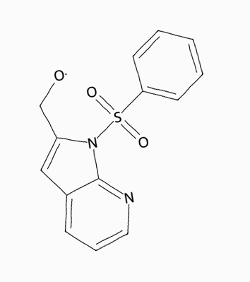 [O]Cc1cc2cccnc2n1S(=O)(=O)c1ccccc1